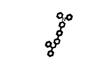 C1=CCC(N(c2ccccc2)C2C=CC(c3ccc(C4=CC=C(CC(c5ccccc5)c5ccccc5)CC4)cc3)=CC2)C=C1